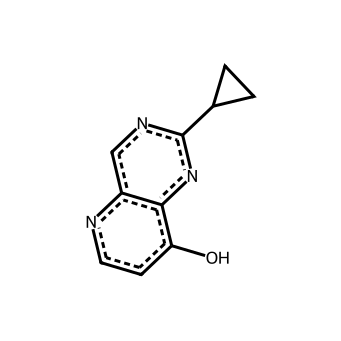 Oc1ccnc2cnc(C3CC3)nc12